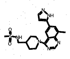 Cc1cc(-c2ccn[nH]2)cc2c(N3CCC(CNS(C)(=O)=O)CC3)ncnc12